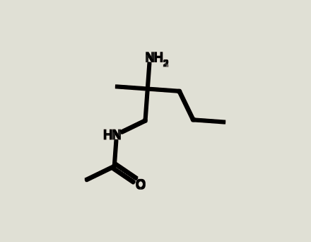 CCCC(C)(N)CNC(C)=O